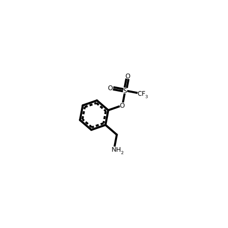 NCc1ccccc1OS(=O)(=O)C(F)(F)F